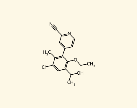 CCOc1c(C(C)O)cc(Cl)c(C)c1-c1ccnc(C#N)c1